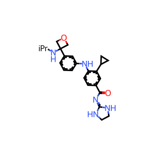 CC(C)NC1(c2cccc(Nc3ccc(C(=O)N=C4NCCN4)cc3C3CC3)c2)COC1